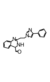 O=CC1NC(CCn2cnc(-c3ccccc3)c2)=Nc2ccccc21